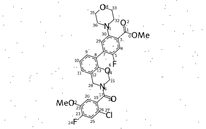 COC(=O)c1cc(F)c(-c2cccc3c2OCN(C(=O)c2cc(OC)c(F)cc2Cl)C3)cc1N1CCOCC1